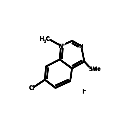 CSc1nc[n+](C)c2cc(Cl)ccc12.[I-]